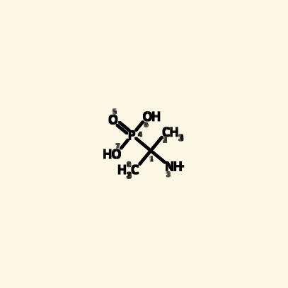 CC(C)([NH])P(=O)(O)O